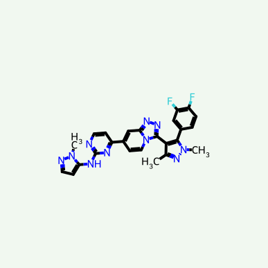 Cc1nn(C)c(-c2ccc(F)c(F)c2)c1-c1nnc2cc(-c3ccnc(Nc4ccnn4C)n3)ccn12